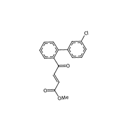 COC(=O)C=CC(=O)c1ccccc1-c1cccc(Cl)c1